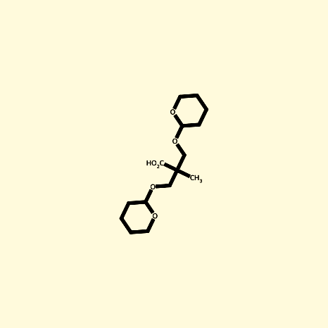 CC(COC1CCCCO1)(COC1CCCCO1)C(=O)O